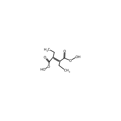 CCC(C(=O)OO)=C(CC)C(=O)OO